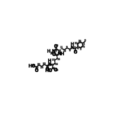 Cc1ccc(C(=O)NCCCC[C@H](NC(=O)CCC[C@H](NC(=O)CCCC(=O)O)C(=O)O)C(N)=O)cc1